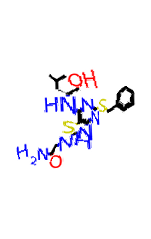 CC(C)C[C@H](CO)Nc1nc(SCc2ccccc2)nc2nc(NCC(N)=O)sc12